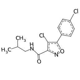 CC(C)CNC(=O)c1noc(-c2ccc(Cl)cc2)c1Cl